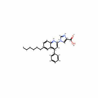 CCCCCCc1ccc2nc(-n3cnc(C(=O)O)c3)cc(-c3ccccc3)c2c1